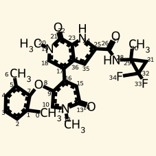 Cc1cccc(C)c1Oc1cn(C)c(=O)cc1-c1cn(C)c(=O)c2[nH]c(C(=O)NC3(C)CC3(F)F)cc12